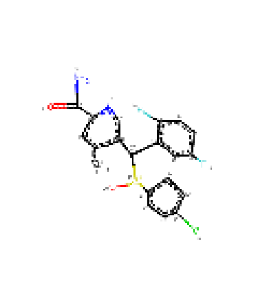 Cc1cc(C(N)=O)ncc1C(c1cc(F)ccc1F)[S+]([O-])c1ccc(Cl)cc1